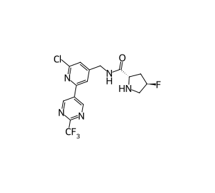 O=C(NCc1cc(Cl)nc(-c2cnc(C(F)(F)F)nc2)c1)[C@@H]1C[C@@H](F)CN1